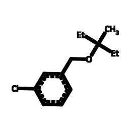 CCC(C)(CC)OCc1cccc(Cl)c1